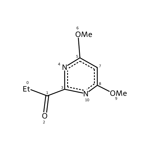 CCC(=O)c1nc(OC)cc(OC)n1